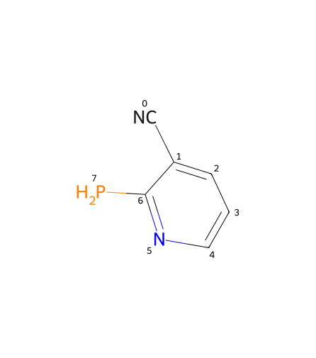 N#Cc1cccnc1P